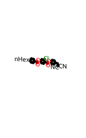 CCCCCCc1ccc(C(=O)Oc2ccc(C(=O)Oc3ccc(C=C(C#N)C#N)cc3)c(Cl)c2)cc1